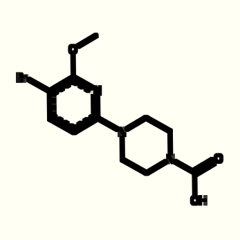 COc1nc(N2CCN(C(=O)O)CC2)ccc1Br